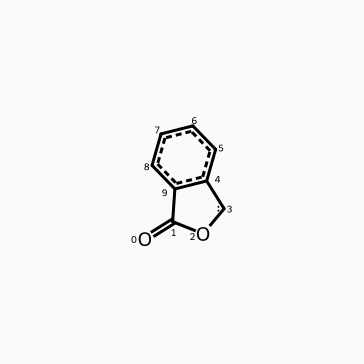 O=C1O[C]c2ccccc21